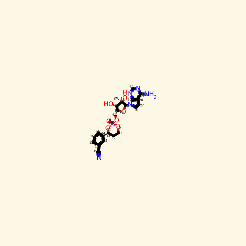 C[C@@]1(O)[C@H](O)[C@@H](CO[P@@]2(=O)OCC[C@@H](c3cccc(C#N)c3)O2)O[C@H]1n1ccc2c(N)ncnc21